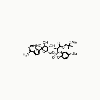 COC(C)(C)COC(=O)[C@H](C)NP(=O)(OC[C@H]1O[C@@](C#N)(c2ccc3c(N)ncnn23)[C@H](O)[C@@H]1O)Oc1ccc(C(C)(C)C)cc1